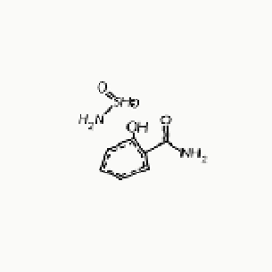 NC(=O)c1ccccc1O.N[SH](=O)=O